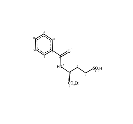 CCOC(=O)[C@H](CCS(=O)(=O)O)NC(=O)c1ccccc1